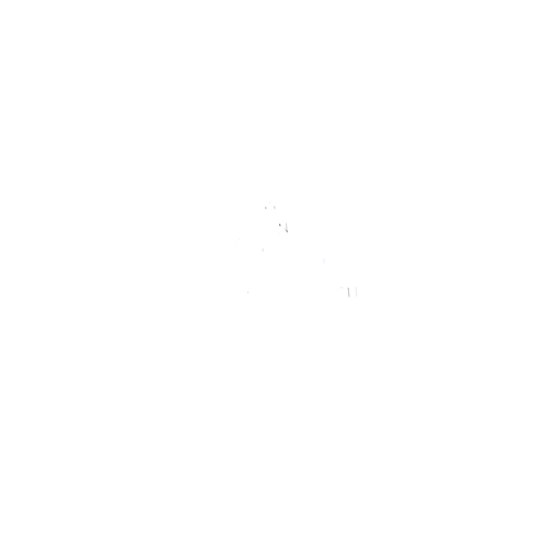 C=C(NO)/C(C=O)=C\C=C(/C)c1ccccc1